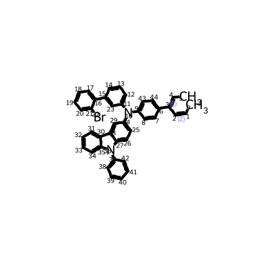 C/C=C\C(=C/C)c1ccc(N(c2cccc(-c3ccccc3Br)c2)c2ccc3c(c2)c2ccccc2n3-c2ccccc2)cc1